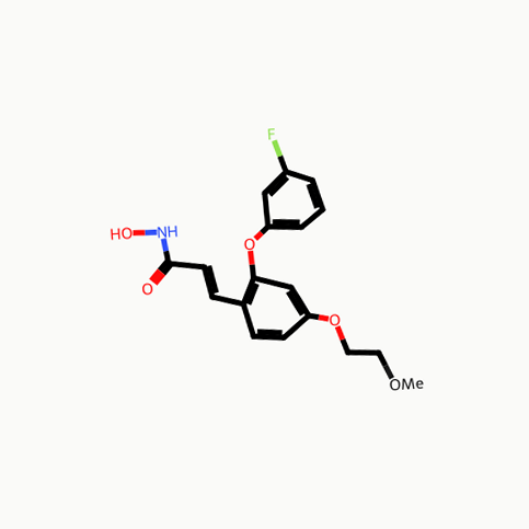 COCCOc1ccc(C=CC(=O)NO)c(Oc2cccc(F)c2)c1